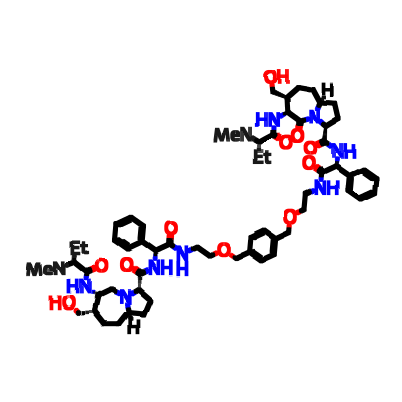 CC[C@H](NC)C(=O)N[C@@H]1C(=O)N2[C@@H](CC[C@@H]1CO)CC[C@H]2C(=O)N[C@H](C(=O)NCCOCc1ccc(COCCNC(=O)[C@@H](NC(=O)[C@@H]2CC[C@@H]3CC[C@H](CO)[C@H](NC(=O)[C@H](CC)NC)CN32)c2ccccc2)cc1)c1ccccc1